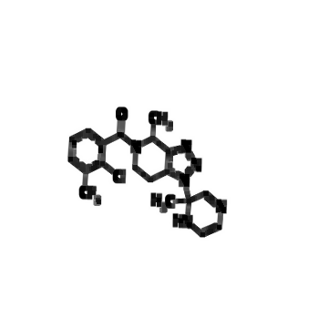 CC1c2nnn(C3(C)C=NC=CN3)c2CCN1C(=O)c1cccc(C(F)(F)F)c1Cl